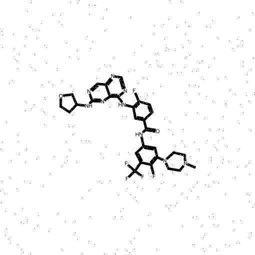 CN1CCN(c2cc(NC(=O)c3ccc(F)c(Nc4ncnc5cnc(NC6CCOC6)nc45)c3)cc(C(F)(F)F)c2F)CC1